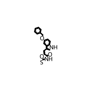 O=C1NC(=S)O/C1=C/c1c[nH]c2ccc(OCc3ccccc3)cc12